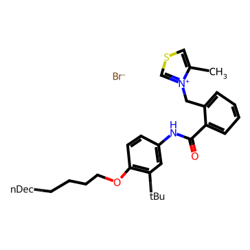 CCCCCCCCCCCCCCOc1ccc(NC(=O)c2ccccc2C[n+]2cscc2C)cc1C(C)(C)C.[Br-]